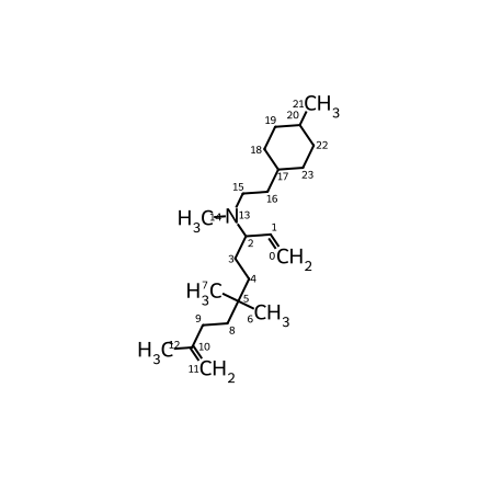 C=CC(CCC(C)(C)CCC(=C)C)N(C)CCC1CCC(C)CC1